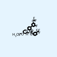 CSCOC1CCN2c3ccc(-c4cc(F)cc(OC(F)F)c4)cc3N(S(=O)(=O)c3cccc(C(F)(F)F)c3)C[C@@H]2C1